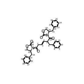 O=C(CC=CC(Cc1ccccc1)C(=O)N1C(=O)OCC1Cc1ccccc1)N1C(=O)OCC1Cc1ccccc1